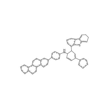 C1=CC(Nc2ccc(-c3ccc4c(ccc5c6ccccc6ccc45)c3)cc2)C(c2cccc3c4c(sc23)=CCCC=4)C=C1c1ccccc1